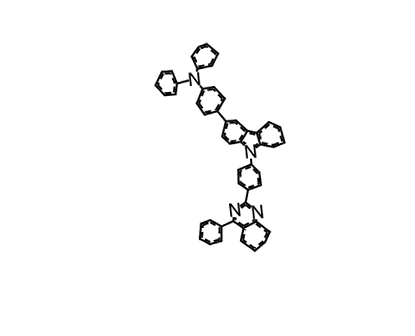 c1ccc(-c2nc(-c3ccc(-n4c5ccccc5c5cc(-c6ccc(N(c7ccccc7)c7ccccc7)cc6)ccc54)cc3)nc3ccccc23)cc1